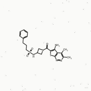 Cc1nnc2sc(C(=O)N3CC(NS(=O)(=O)CCCc4ccccc4)C3)c(N)c2c1C